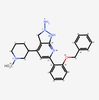 NN1Cc2c(C3CCCN(C(=O)O)C3)cc(-c3ccccc3OCc3ccccc3)nc2N1